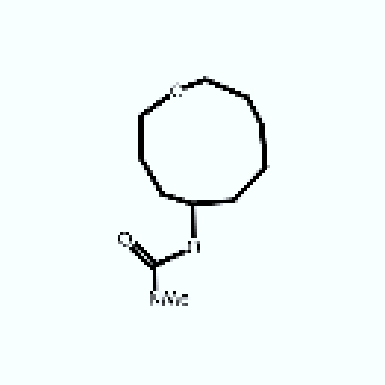 CNC(=O)OC1CCCCCCCCC1